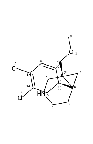 COC[C@]12CNCCC1([C@@H]1C=CC(Cl)=C(Cl)C1)C2